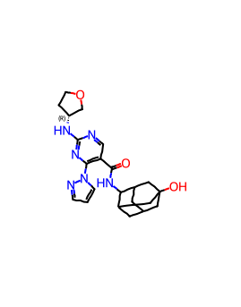 O=C(NC1C2CC3CC1CC(O)(C3)C2)c1cnc(N[C@@H]2CCOC2)nc1-n1cccn1